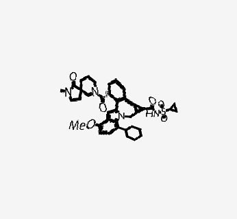 COc1ccc(C2CCCCC2)c2c1cc1n2CC2=C(C(=O)NS(=O)(=O)C3CC3)C2=C2C=CC[C@@H](C(=O)N3CCCC4(CCN(C)C4=O)C3)C21